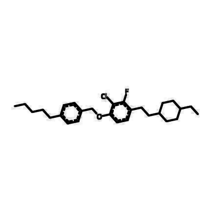 CCCCCc1ccc(COc2ccc(CCC3CCC(CC)CC3)c(F)c2Cl)cc1